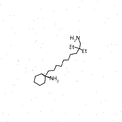 CCC(CC)(CN)CCCCCCCCC1(N)CCCCC1